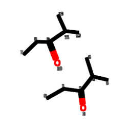 CCC(=O)C(C)C.CCC(=O)C(C)C